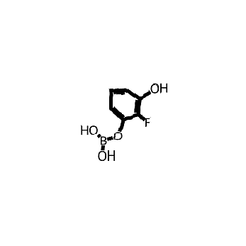 OB(O)Oc1cccc(O)c1F